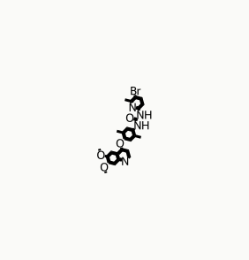 COc1cc2nccc(Oc3cc(C)c(NC(=O)Nc4ccc(Br)c(C)n4)cc3C)c2cc1OC